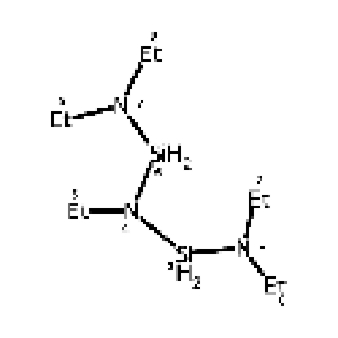 CCN(CC)[SiH2]N(CC)[SiH2]N(CC)CC